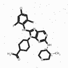 C[C@@H]1COCC[C@@H]1Nc1ncc2nc(Nc3c(F)cc(Cl)cc3F)n(C3CCC(C(N)=O)CC3)c2n1